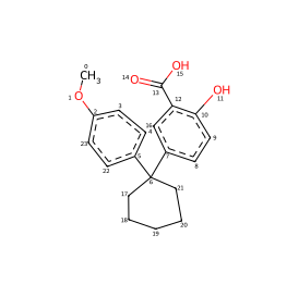 COc1ccc(C2(c3ccc(O)c(C(=O)O)c3)CCCCC2)cc1